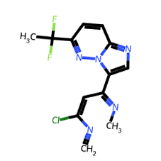 C=N/C(Cl)=C\C(=N/C)c1cnc2ccc(C(C)(F)F)nn12